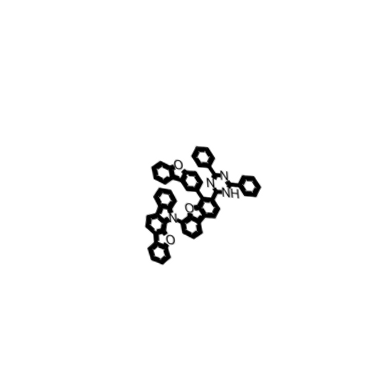 c1ccc(C2=NC(c3ccc4c(oc5c(-n6c7ccccc7c7ccc8c9ccccc9oc8c76)cccc54)c3-c3ccc4oc5ccccc5c4c3)NC(c3ccccc3)=N2)cc1